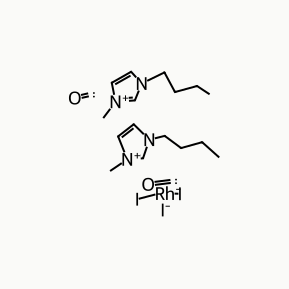 CCCCn1cc[n+](C)c1.CCCCn1cc[n+](C)c1.[C]=O.[C]=O.[I-].[I][Rh-][I]